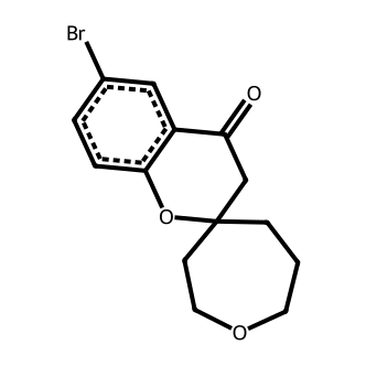 O=C1CC2(CCCOCC2)Oc2ccc(Br)cc21